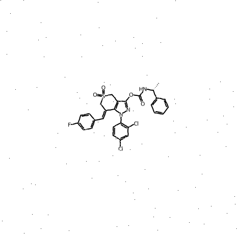 C[C@@H](NC(=O)Oc1nn(-c2ccc(Cl)cc2Cl)c2c1CS(=O)(=O)C/C2=C\c1ccc(F)cc1)c1ccccc1